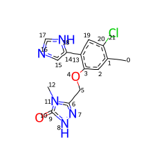 Cc1cc(OCc2n[nH]c(=O)n2C)c(-c2cnc[nH]2)cc1Cl